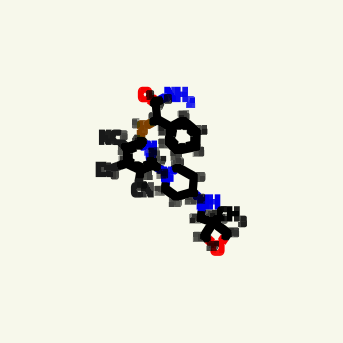 CCc1c(C#N)c(SC(C(N)=O)c2ccccc2)nc(N2CCC(NCC3(C)COC3)CC2)c1C#N